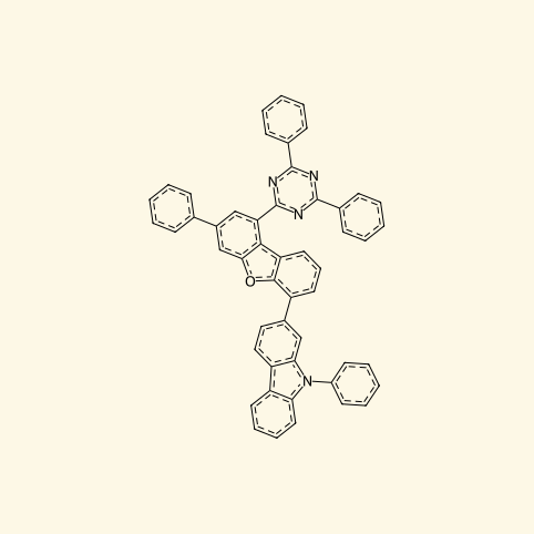 c1ccc(-c2cc(-c3nc(-c4ccccc4)nc(-c4ccccc4)n3)c3c(c2)oc2c(-c4ccc5c6ccccc6n(-c6ccccc6)c5c4)cccc23)cc1